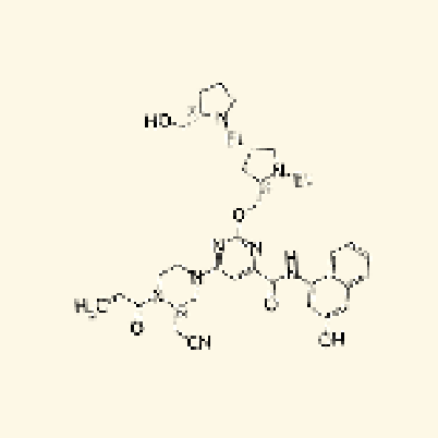 C=CC(=O)N1CCN(c2cc(C(=O)Nc3cc(O)cc4ccccc34)nc(OC[C@@H]3CCCN3CC)n2)C[C@@H]1CC#N.CCN1CCC[C@H]1CO